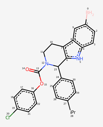 Bc1ccc2[nH]c3c(c2c1)CCN(C(=O)Oc1ccc(Cl)cc1)C3c1ccc(C(C)C)cc1